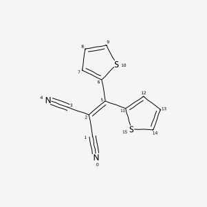 N#CC(C#N)=C(c1cccs1)c1cccs1